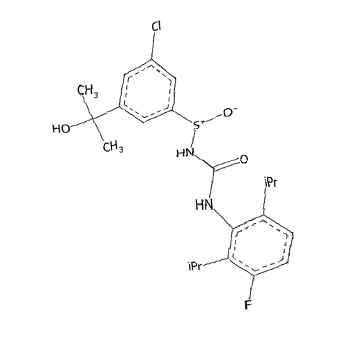 CC(C)c1ccc(F)c(C(C)C)c1NC(=O)N[S+]([O-])c1cc(Cl)cc(C(C)(C)O)c1